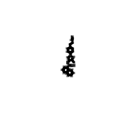 CC1=NN(c2ccc(CCC#N)cc2)CC1=NN(O)c1cccc2ccccc12